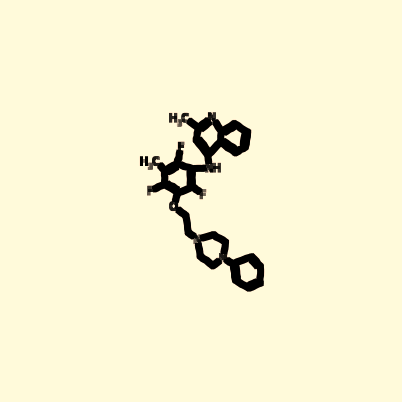 Cc1cc(Nc2c(F)c(C)c(F)c(OCCN3CCN(c4ccccc4)CC3)c2F)c2ccccc2n1